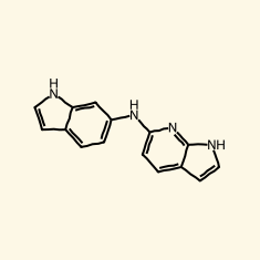 c1cc2ccc(Nc3ccc4cc[nH]c4n3)cc2[nH]1